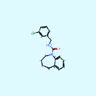 O=C(NCc1cccc(Cl)c1)N1CCCCc2ccccc21